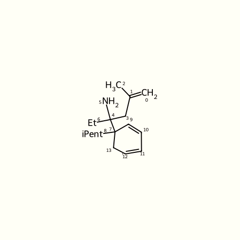 C=C(C)CC(N)(CC)C1(C(C)CCC)C=CC=[C]C1